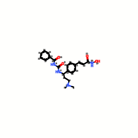 CN(C)CCC(NC(=O)NC(=O)c1ccccc1)c1ccc(C=CC(=O)NO)cc1